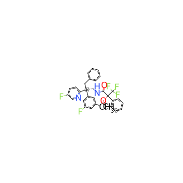 COC(C(=O)NC[C@](Cc1ccccc1)(c1cc(C)cc(F)c1)c1ccc(F)cn1)(c1ccccc1)C(F)(F)F